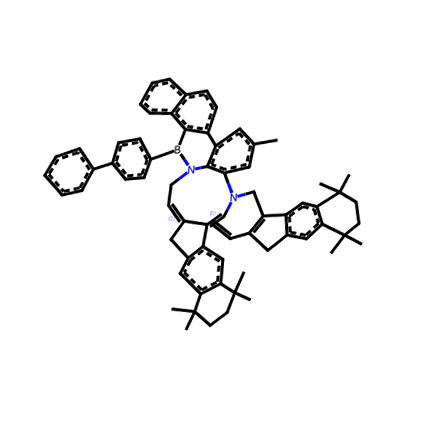 C=CC1=C(CN2/C=C3\C(=C/CN4B(c5ccc(-c6ccccc6)cc5)c5c(ccc6ccccc56)-c5cc(C)cc2c54)Cc2cc4c(cc23)C(C)(C)CCC4(C)C)c2cc3c(cc2C1)C(C)(C)CCC3(C)C